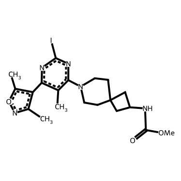 COC(=O)NC1CC2(CCN(c3nc(I)nc(-c4c(C)noc4C)c3C)CC2)C1